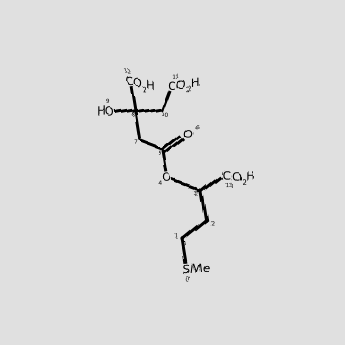 CSCCC(OC(=O)CC(O)(CC(=O)O)C(=O)O)C(=O)O